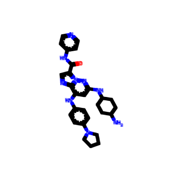 NC1CCC(Nc2cc(Nc3ccc(N4CCCC4)cc3)c3ncc(C(=O)Nc4ccncc4)n3n2)CC1